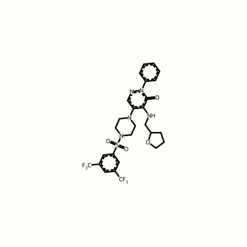 O=c1c(NCC2CCCO2)c(N2CCN(S(=O)(=O)c3cc(C(F)(F)F)cc(C(F)(F)F)c3)CC2)cnn1-c1ccccc1